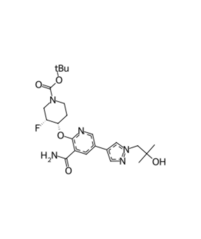 CC(C)(O)Cn1cc(-c2cnc(O[C@H]3CCN(C(=O)OC(C)(C)C)C[C@H]3F)c(C(N)=O)c2)cn1